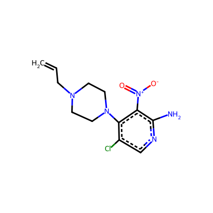 C=CCN1CCN(c2c(Cl)cnc(N)c2[N+](=O)[O-])CC1